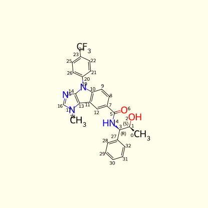 C[C@H](O)[C@H](NC(=O)c1ccc2c(c1)c1c(ncn1C)n2-c1ccc(C(F)(F)F)cc1)c1ccccc1